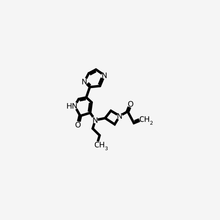 C=CC(=O)N1CC(N(CCC)c2cc(-c3cnccn3)c[nH]c2=O)C1